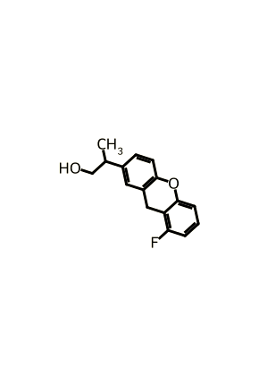 CC(CO)c1ccc2c(c1)Cc1c(F)cccc1O2